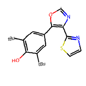 CC(C)(C)c1cc(-c2o[c]nc2-c2nccs2)cc(C(C)(C)C)c1O